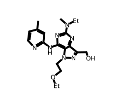 CCOCCn1nc(CO)c2nc(N(C)CC)nc(Nc3cc(C)ccn3)c21